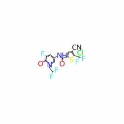 N#Cc1cc(C(=O)Nc2cc(F)c(=O)n(CC(F)F)c2)sc1C(F)(F)Cl